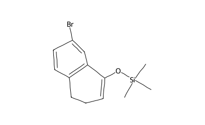 C[Si](C)(C)OC1=CCCc2ccc(Br)cc21